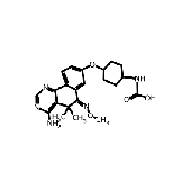 CON=C1c2cc(OC3CCC(NC(=O)O)CC3)ccc2-c2ncnc(N)c2C1(C)C